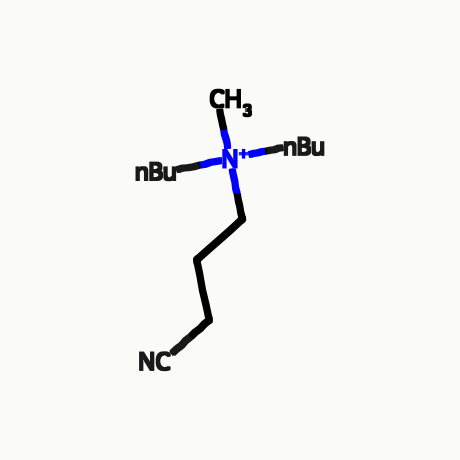 CCCC[N+](C)(CCCC)CCCC#N